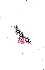 CN(C(=O)C(=O)O)c1cc(-c2ccc(OC(F)(F)F)cc2)ccc1OCc1ccc(C(C)(C)C)cc1